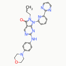 C=CCn1c(=O)c2cnc(Nc3ccc(N4CCOCC4)cc3)nc2n1-c1cccc(-c2ncccn2)n1